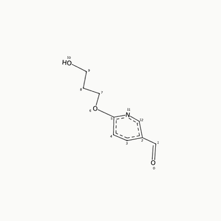 O=Cc1ccc(OCCCO)nc1